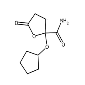 NC(=O)C1(OC2CCCC2)[CH]CC(=O)O1